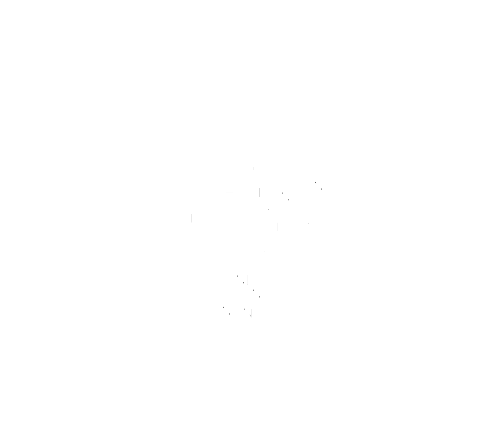 [2H]c1c([2H])c(C([2H])([2H])n2c(OCC)nc3cccc(OC(=O)OCC)c32)c([2H])c([2H])c1-c1ccccc1-c1nnn[nH]1